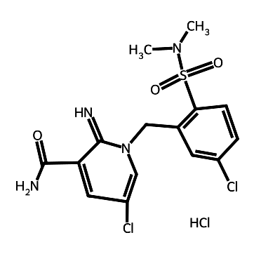 CN(C)S(=O)(=O)c1ccc(Cl)cc1Cn1cc(Cl)cc(C(N)=O)c1=N.Cl